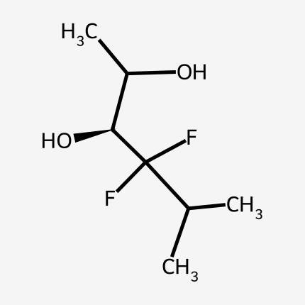 CC(O)[C@H](O)C(F)(F)C(C)C